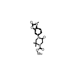 Cn1c(=O)oc2cc(N3CC(C)(C)N(C(=O)OC(C)(C)C)CC3=O)ccc21